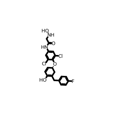 O=C(CNO)Nc1cc(Cl)c(O[C@H]2C=CC(O)=C(Cc3ccc(F)cc3)C2)c(Cl)c1